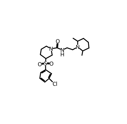 CC1CCCC(C)N1CCNC(=O)N1CCCC(S(=O)(=O)c2cccc(Cl)c2)C1